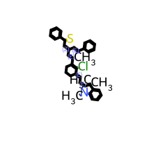 C\C(=C/C(=C\C(=S)c1ccccc1)/C=C/C1=C(Cl)C(=C/C=C2/N(C)c3ccccc3C2(C)C)/CCC1)c1ccccc1